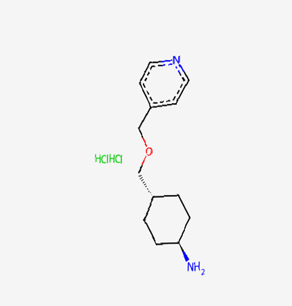 Cl.Cl.N[C@H]1CC[C@H](COCc2ccncc2)CC1